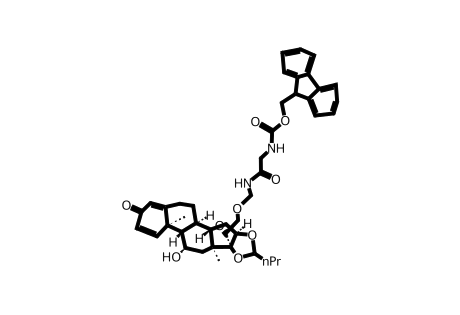 CCCC1O[C@@H]2C[C@H]3[C@@H]4CCC5=CC(=O)C=C[C@]5(C)[C@H]4[C@@H](O)C[C@]3(C)[C@]2(C(=O)COCNC(=O)CNC(=O)OCC2c3ccccc3-c3ccccc32)O1